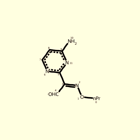 CCCON=C([C]=O)c1nccc(N)n1